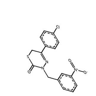 O=C1SCC(c2ccc(Cl)cc2)=NN1Cc1cccc([N+](=O)[O-])c1